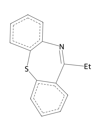 CCC1=Nc2ccccc2Sc2ccccc21